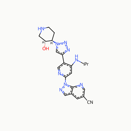 CC(C)Nc1cc(-n2ncc3cc(C#N)cnc32)ncc1-c1cn([C@@H]2CCNC[C@H]2O)nn1